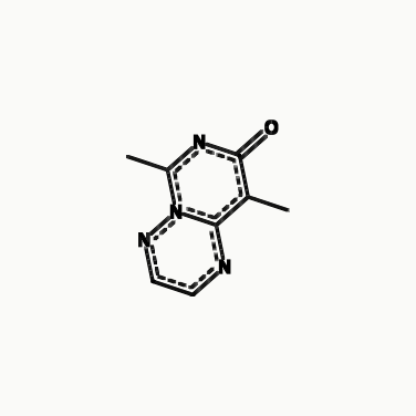 Cc1c(=O)nc(C)n2nccnc12